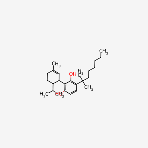 CCCCCCC(C)(C)c1ccc(O)c(C2C=C(C)CCC2C(C)C)c1O